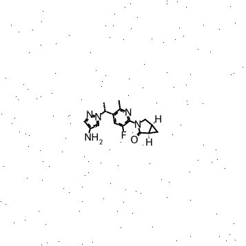 Cc1nc(N2C[C@H]3C[C@H]3C2=O)c(F)cc1C(C)n1cc(N)cn1